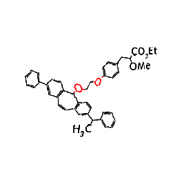 CCOC(=O)C(Cc1ccc(OCCOC2c3ccc(-c4ccccc4)cc3C=Cc3cc(C(C)c4ccccc4)ccc32)cc1)OC